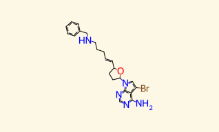 Nc1ncnc2c1c(Br)cn2C1CCC(/C=C/CCCNCc2ccccc2)O1